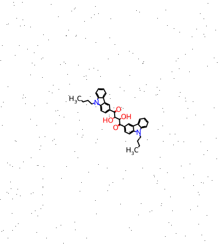 CCCCn1c2ccccc2c2cc(C(=O)C(O)C(O)C(=O)c3ccc4c(c3)c3ccccc3n4CCCC)ccc21